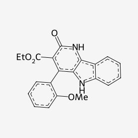 CCOC(=O)c1c(-c2ccccc2OC)c2[nH]c3ccccc3c2[nH]c1=O